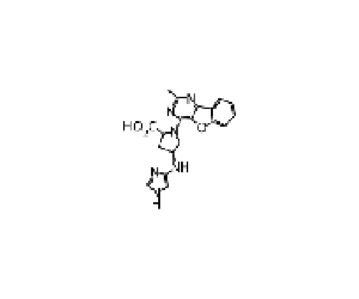 Cc1nc(N2C[C@@H](Nc3c[nH]cn3)C[C@H]2C(=O)O)c2oc3ccccc3c2n1